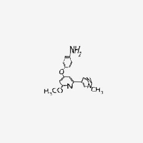 COc1cc(Oc2ccc(N)cc2)cc(-c2cnn(C)c2)n1